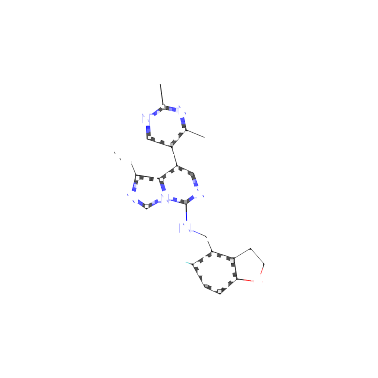 Cc1ncc(-c2cnc(NCc3c(F)ccc4c3CCO4)n3cnc(C#N)c23)c(C)n1